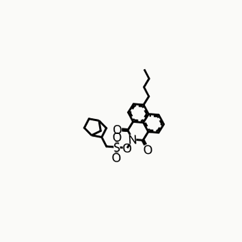 CCCCc1ccc2c3c(cccc13)C(=O)N(OS(=O)(=O)CC1CC3CCC1C3)C2=O